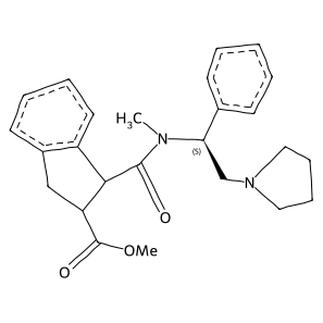 COC(=O)C1Cc2ccccc2C1C(=O)N(C)[C@H](CN1CCCC1)c1ccccc1